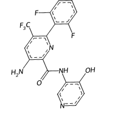 Nc1cc(C(F)(F)F)c(-c2c(F)cccc2F)nc1C(=O)Nc1cnccc1O